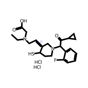 CCN(C/C=C1/CN(C(C(=O)C2CC2)c2ccccc2F)CCC1S)CC(=O)O.Cl.Cl